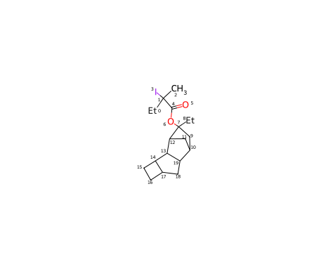 CCC(C)(I)C(=O)OC1(CC)CC2CC1C1C3CCC3CC21